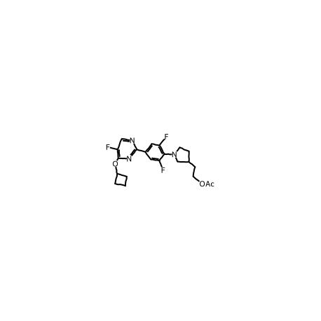 CC(=O)OCCC1CCN(c2c(F)cc(-c3ncc(F)c(OC4CCC4)n3)cc2F)C1